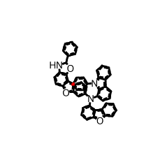 c1ccc(C2Nc3ccc4oc5cc(N(c6cccc7oc8ccccc8c67)c6cccc7c8ccccc8n(-c8ccccc8)c67)ccc5c4c3O2)cc1